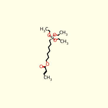 CC=CC(=O)OCCCCCCC[Si](OCC)(OCC)OCC